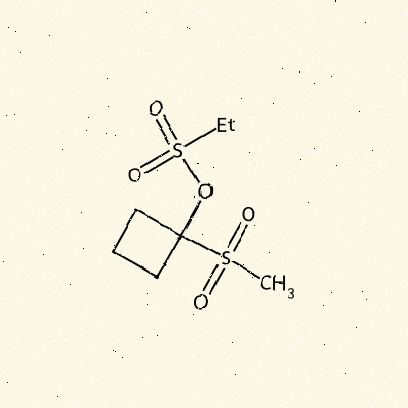 CCS(=O)(=O)OC1(S(C)(=O)=O)CCC1